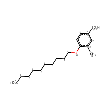 CCCCCCCCCCCCCCCCCCCOc1ccc(S(=O)(=O)O)cc1C